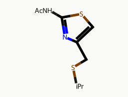 CC(=O)Nc1nc(CSC(C)C)cs1